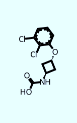 O=C(O)N[C@H]1C[C@H](Oc2cccc(Cl)c2Cl)C1